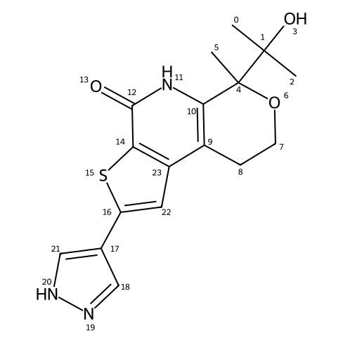 CC(C)(O)C1(C)OCCc2c1[nH]c(=O)c1sc(-c3cn[nH]c3)cc21